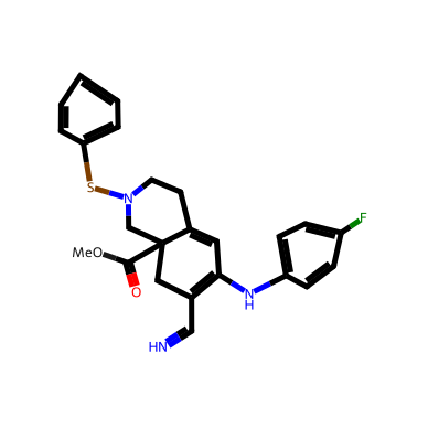 COC(=O)C12CC(C=N)=C(Nc3ccc(F)cc3)C=C1CCN(Sc1ccccc1)C2